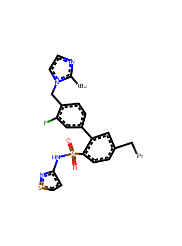 CC(C)Cc1ccc(S(=O)(=O)Nc2ccsn2)c(-c2ccc(Cn3ccnc3C(C)(C)C)c(F)c2)c1